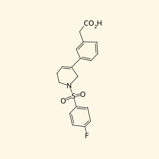 O=C(O)Cc1cccc(C2=CCCN(S(=O)(=O)c3ccc(F)cc3)C2)c1